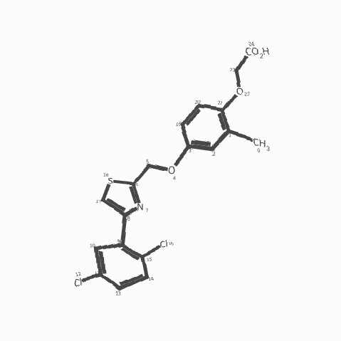 Cc1cc(OCc2nc(-c3cc(Cl)ccc3Cl)cs2)ccc1OCC(=O)O